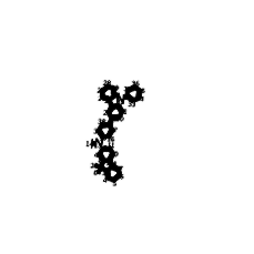 CC1(C)c2ccccc2-c2ccc(N(I)c3ccc(-c4ccc5c(c4)c4ccccc4n5-c4ccccc4)cc3)cc21